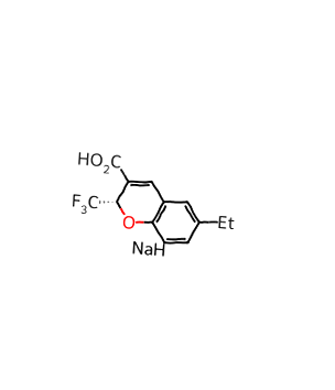 CCc1ccc2c(c1)C=C(C(=O)O)[C@@H](C(F)(F)F)O2.[NaH]